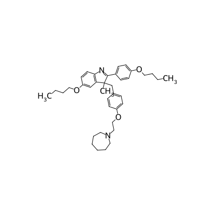 CCCCOc1ccc(C2=Nc3ccc(OCCCC)cc3C2(C)Cc2ccc(OCCN3CCCCCC3)cc2)cc1